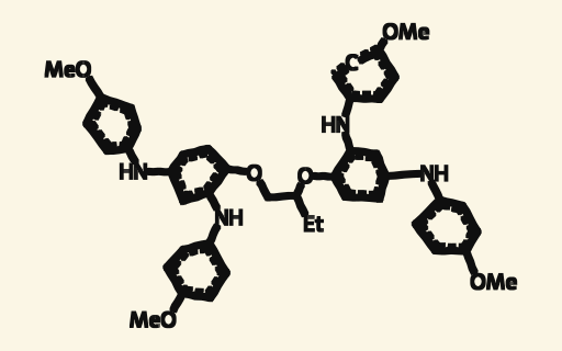 CCC(COc1ccc(Nc2ccc(OC)cc2)cc1Nc1ccc(OC)cc1)Oc1ccc(Nc2ccc(OC)cc2)cc1Nc1ccc(OC)cc1